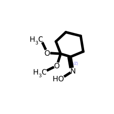 COC1(OC)CCCC/C1=N/O